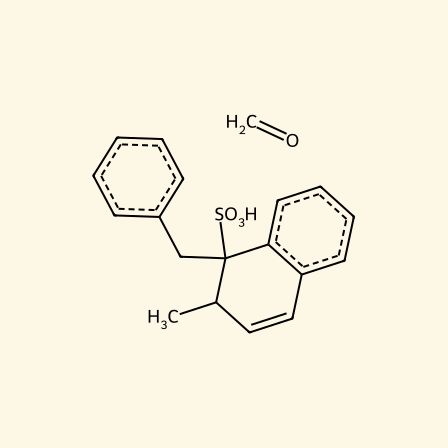 C=O.CC1C=Cc2ccccc2C1(Cc1ccccc1)S(=O)(=O)O